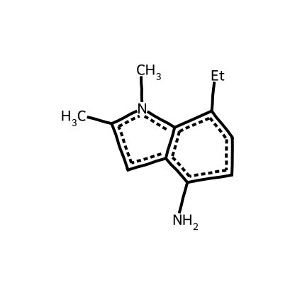 CCc1ccc(N)c2cc(C)n(C)c12